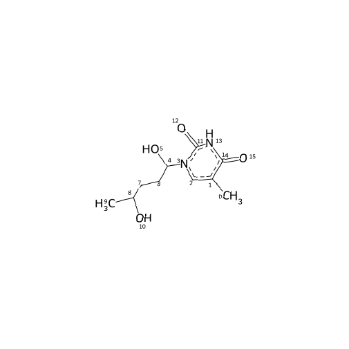 Cc1cn(C(O)CCC(C)O)c(=O)[nH]c1=O